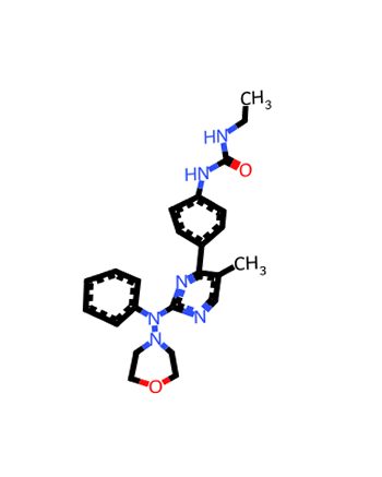 CCNC(=O)Nc1ccc(-c2nc(N(c3ccccc3)N3CCOCC3)ncc2C)cc1